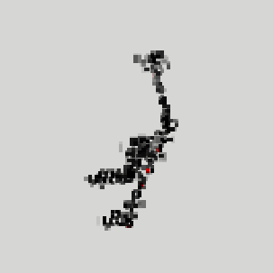 CC1/C=C\c2ccccc2N(C(=O)CCC(=O)NCCOCCOCCOCCOCCC(=O)N[C@H](CCCCNC(=O)COC2CCCCCc3c2nnn3CCOCCOCCOCCOCCC(=O)NCC[N+](C)(C)C)C(=O)N[C@H](C(=O)N[C@@H](C)C(=O)Nc2ccc3c(c2)[C@@]2(C)CCC[C@](C)(C(=O)NC(=O)[C@@]4(C)CCC[C@]5(C)c6cc(N)ccc6CC[C@@H]45)[C@@H]2CC3)C(C)C)Cc2ccccc21